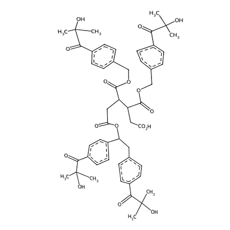 CC(C)(O)C(=O)c1ccc(COC(=O)C(CC(=O)O)C(CC(=O)OC(Cc2ccc(C(=O)C(C)(C)O)cc2)c2ccc(C(=O)C(C)(C)O)cc2)C(=O)OCc2ccc(C(=O)C(C)(C)O)cc2)cc1